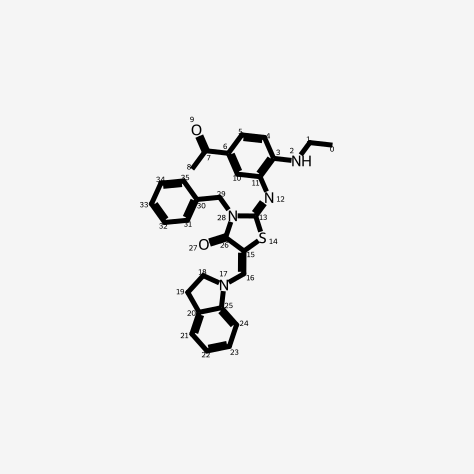 CCNc1ccc(C(C)=O)cc1/N=C1/S/C(=C/N2CCc3ccccc32)C(=O)N1Cc1ccccc1